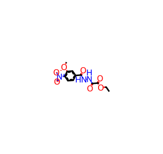 CCOC(=O)C(=O)NNC(=O)c1ccc([N+](=O)[O-])c(OC)c1